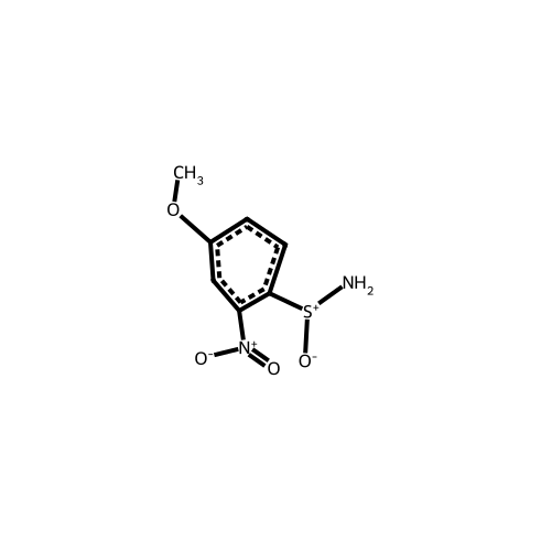 COc1ccc([S+](N)[O-])c([N+](=O)[O-])c1